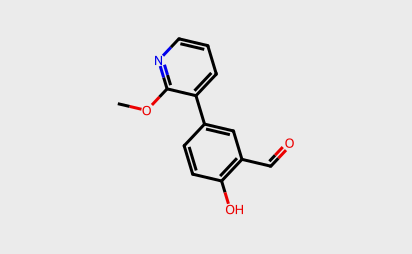 COc1ncccc1-c1ccc(O)c(C=O)c1